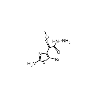 CON=C(C(=O)NN)c1nc(N)sc1Br